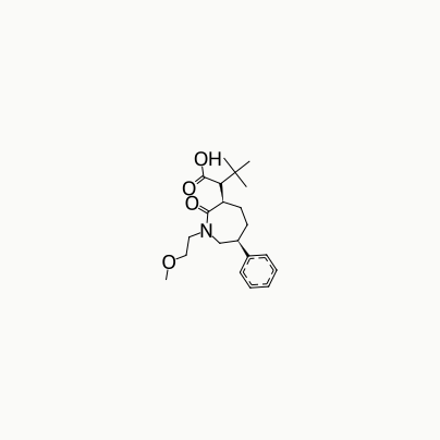 COCCN1C[C@H](c2ccccc2)CC[C@H](C(C(=O)O)C(C)(C)C)C1=O